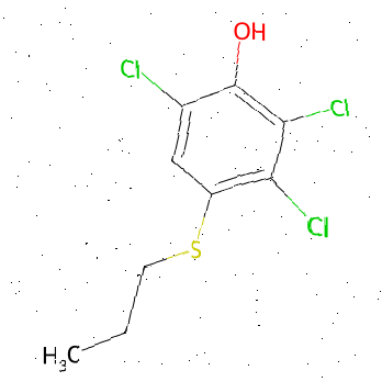 CCCSc1cc(Cl)c(O)c(Cl)c1Cl